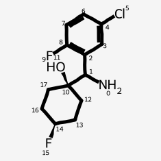 NC(c1cc(Cl)ccc1F)[C@]1(O)CC[C@@H](F)CC1